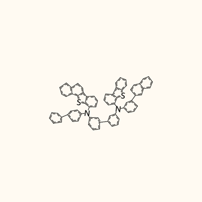 c1ccc(-c2ccc(N(c3cccc(-c4cccc(N(c5cccc(-c6ccc7ccccc7c6)c5)c5cccc6c5sc5ccccc56)c4)c3)c3cccc4c3sc3c5ccccc5ccc43)cc2)cc1